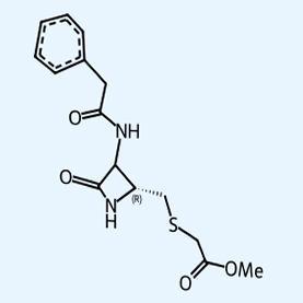 COC(=O)CSC[C@@H]1NC(=O)C1NC(=O)Cc1ccccc1